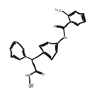 Cc1ccccc1C(=O)Nc1ccc(C(C(=O)NO)c2ccccc2)cc1